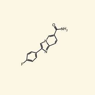 NC(=O)c1ccc2nc(-c3ccc(F)cc3)cn2c1